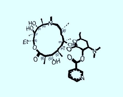 CC[C@H]1OC(=O)[C@H](C)[C@@H](O)[C@H](C)[C@@H](OC2OC(C)CC(N(C)C)C2OC(=O)c2cccnc2)[C@](C)(O)C[C@@H](C)CN(C)[C@H](C)[C@@H](O)[C@]1(C)O